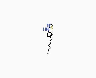 CCCCCCCCc1ccc(NC2=NCCS2)cc1